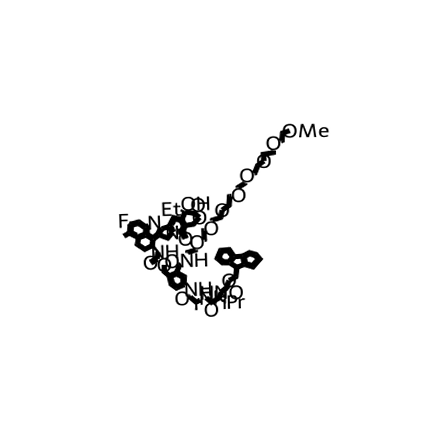 CC[C@@]1(O)C(=O)OCc2c1cc1n(c2=O)Cc2c-1nc1cc(F)c(C)c3c1c2[C@@H](NC(=O)OCc1ccc(NC(=O)[C@H](C)NC(=O)[C@@H](NC(=O)OCC2c4ccccc4-c4ccccc42)C(C)C)cc1C(=O)NCCOCCOCCOCCOCCOCCOCCOCCOC)CC3